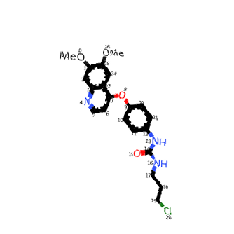 COc1cc2nccc(Oc3ccc(NC(=O)NCCCCl)cc3)c2cc1OC